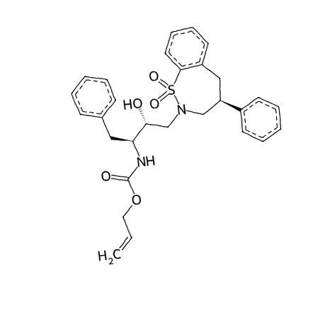 C=CCOC(=O)N[C@@H](Cc1ccccc1)[C@H](O)CN1C[C@H](c2ccccc2)Cc2ccccc2S1(=O)=O